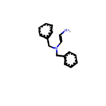 NC=CN(Cc1ccccc1)Cc1ccccc1